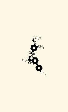 Cc1cc(S(=O)(=O)N2CC(C)(C)c3cc(-c4ccc(C(F)(F)F)cc4)ccc32)ccc1OCC(=O)O